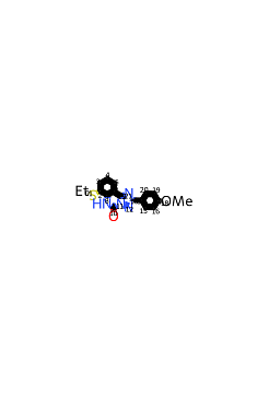 CCSc1cccc2c1[nH]c(=O)n1nc(-c3ccc(OC)cc3)nc21